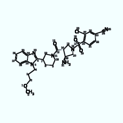 COCCCn1c(C2CCCN(C(=O)[C@@H]3CN(S(=O)(=O)c4ccc(C#N)cc4Cl)C[C@H]3N)C2)nc2ccccc21